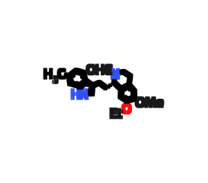 CCOc1cc2c(cc1OC)CCN(C=O)[C@H]2CCc1c[nH]c2cc(C)ccc12